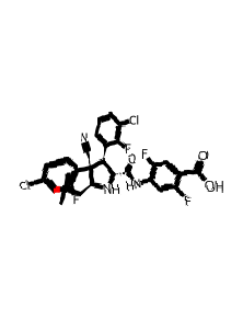 CC(C)(C)C[C@@H]1N[C@@H](C(=O)Nc2cc(F)c(C(=O)O)cc2F)[C@H](c2cccc(Cl)c2F)[C@@]1(C#N)c1ccc(Cl)cc1F